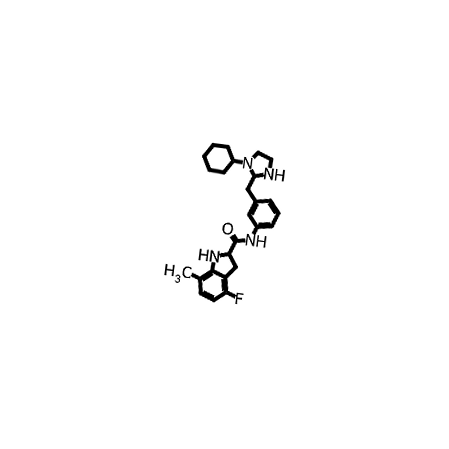 Cc1ccc(F)c2c1NC(C(=O)Nc1cccc(CC3NCCN3C3CCCCC3)c1)C2